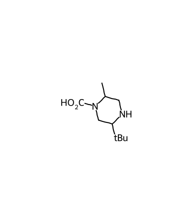 CC1CNC(C(C)(C)C)CN1C(=O)O